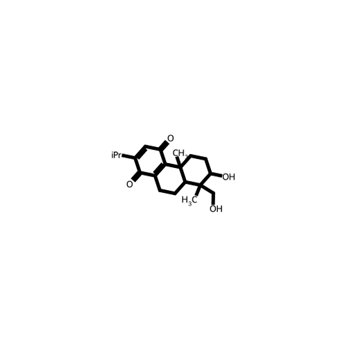 CC(C)C1=CC(=O)C2=C(CCC3C2(C)CCC(O)C3(C)CO)C1=O